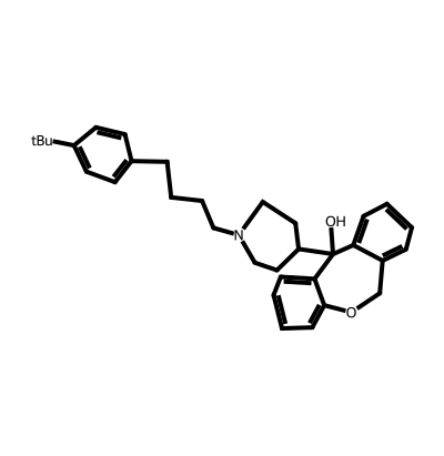 CC(C)(C)c1ccc(CCCCN2CCC(C3(O)c4ccccc4COc4ccccc43)CC2)cc1